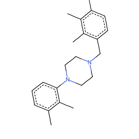 COc1ccc(CN2CCN(c3cccc(C)c3C)CC2)c(C)c1C